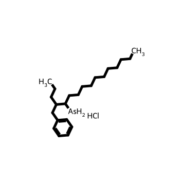 CCCCCCCCCCCC([AsH2])C(CCC)Cc1ccccc1.Cl